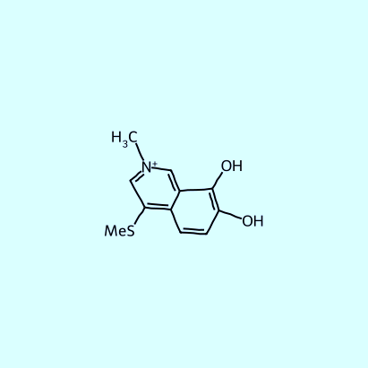 CSc1c[n+](C)cc2c(O)c(O)ccc12